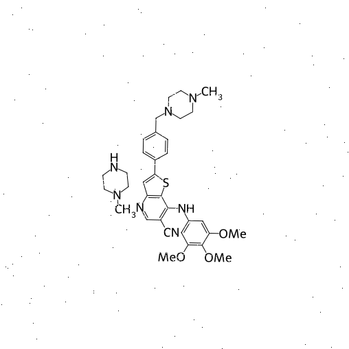 CN1CCNCC1.COc1cc(Nc2c(C#N)cnc3cc(-c4ccc(CN5CCN(C)CC5)cc4)sc23)cc(OC)c1OC